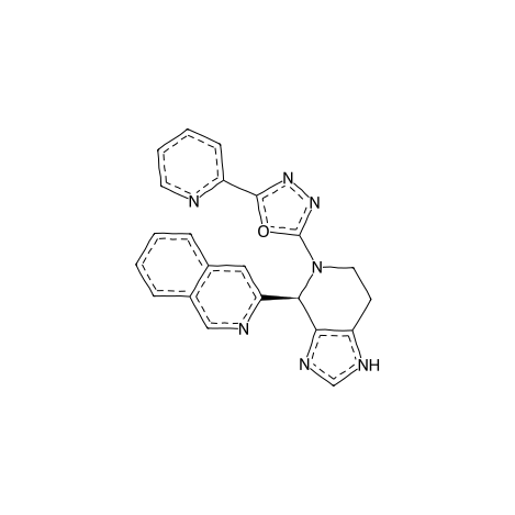 c1ccc(-c2nnc(N3CCc4[nH]cnc4[C@H]3c3cc4ccccc4cn3)o2)nc1